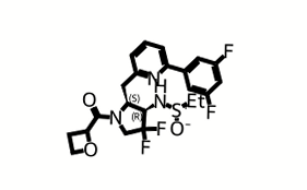 CC[S+]([O-])N[C@@H]1[C@H](Cc2cccc(-c3cc(F)cc(F)c3)n2)N(C(=O)C2CCO2)CC1(F)F